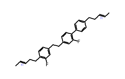 C/C=C/CCc1ccc(-c2ccc(CCc3ccc(CC/C=C/C)c(F)c3)cc2F)cc1